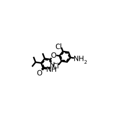 Cc1c(Oc2c(Cl)cc(N)cc2Cl)n[nH]c(=O)c1C(C)C